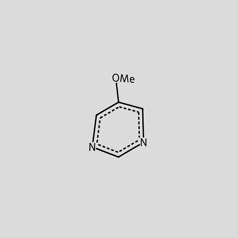 COc1cncnc1